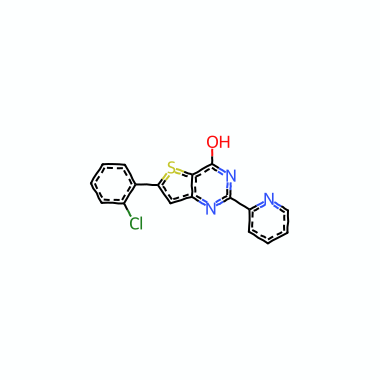 Oc1nc(-c2ccccn2)nc2cc(-c3ccccc3Cl)sc12